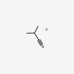 CC(C)C#N.[S]